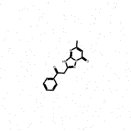 Cc1cc(=O)n2nc(CC(=O)c3ccccc3)[nH]c2n1